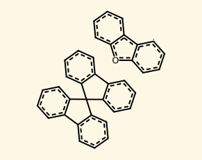 [c]1cccc2oc3ccccc3c12.c1ccc2c(c1)-c1ccccc1C21c2ccccc2-c2ccccc21